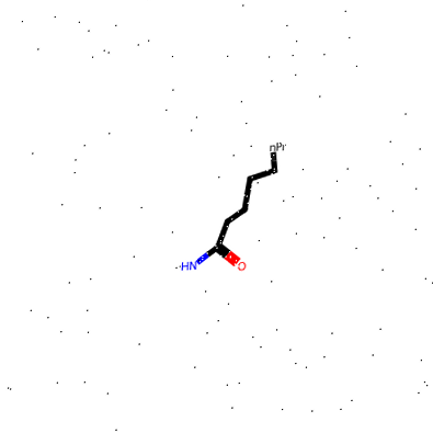 CCCCCCCC([NH])=O